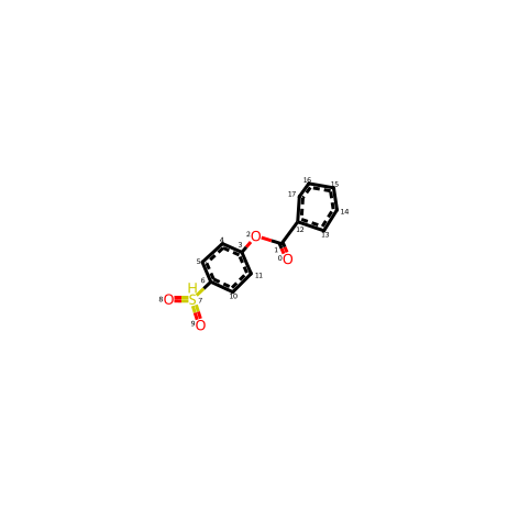 O=C(Oc1ccc([SH](=O)=O)cc1)c1ccccc1